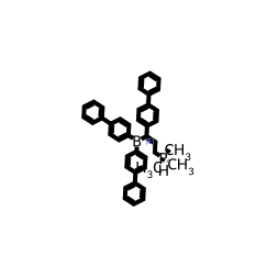 C[PH](C)(C)C/C=C(\B(c1ccc(-c2ccccc2)cc1)c1ccc(-c2ccccc2)cc1)c1ccc(-c2ccccc2)cc1